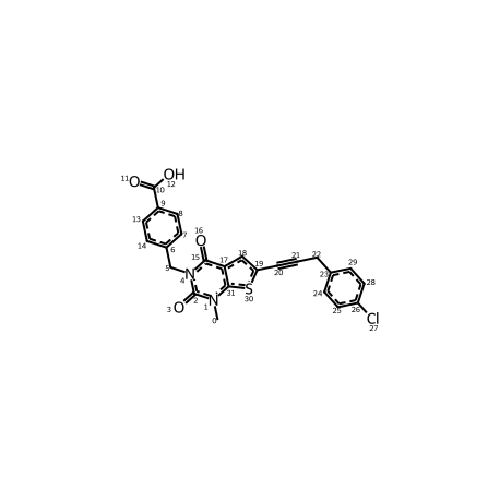 Cn1c(=O)n(Cc2ccc(C(=O)O)cc2)c(=O)c2cc(C#CCc3ccc(Cl)cc3)sc21